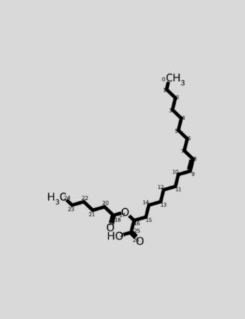 CCCCCCCC/C=C\CCCCCCC(OC(=O)CCCCC)C(=O)O